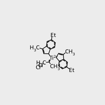 CCc1ccc2c(c1)C(C)=C[CH]2[Ti+2](=[C](C)C)[CH]1C=C(C)c2cc(CC)ccc21.[Cl-].[Cl-]